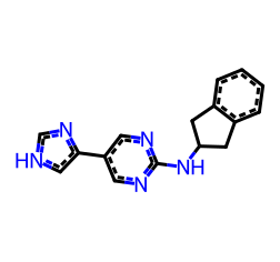 c1ccc2c(c1)CC(Nc1ncc(-c3c[nH]cn3)cn1)C2